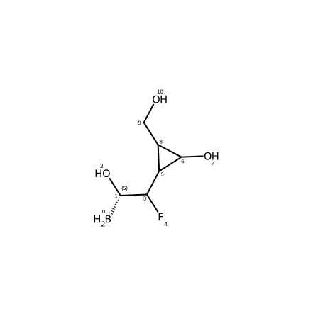 B[C@H](O)C(F)C1C(O)C1CO